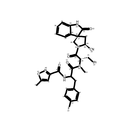 Cc1cc(C(=O)NC(Cc2ccc(F)cc2)C(=O)N(C)[C@@H](CC(C)C)C(=O)N2C[C@]3(C[C@H]2C#N)C(=O)Nc2ccccc23)no1